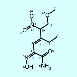 CC/C(=C\C(=N\O)C(N)=O)C(COC)[N+](=O)[O-]